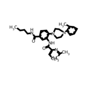 C/C=C(\N=C(C)C)C(=O)Nc1cc(C(=O)NCCCC)ccc1N1CCN(c2ccccc2C)CC1